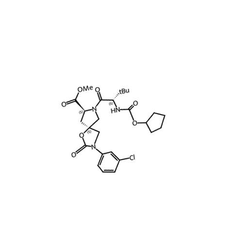 COC(=O)[C@@H]1C[C@@]2(CN(c3cccc(Cl)c3)C(=O)O2)CN1C(=O)[C@@H](NC(=O)OC1CCCC1)C(C)(C)C